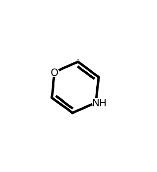 [C]1=CNC=CO1